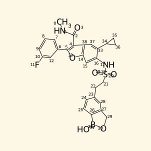 CNC(=O)c1c(-c2cccc(F)c2)oc2cc(NS(=O)(=O)CCc3ccc4c(c3)COB4O)c(C3CC3)cc12